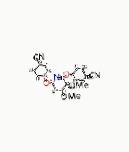 COc1cc(Oc2ccc(C#N)cc2)nc(Oc2ccc(C#N)cc2)c1OC